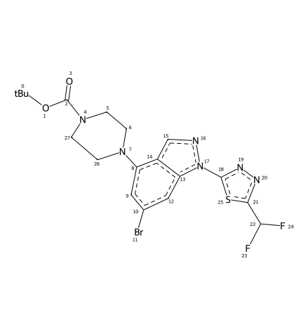 CC(C)(C)OC(=O)N1CCN(c2cc(Br)cc3c2cnn3-c2nnc(C(F)F)s2)CC1